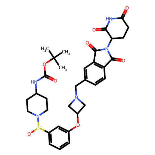 CC(C)(C)OC(=O)NC1CCN([S+]([O-])c2cccc(OC3CN(Cc4ccc5c(c4)C(=O)N(C4CCC(=O)NC4=O)C5=O)C3)c2)CC1